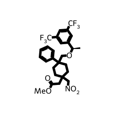 COC(=O)CC1(C[N+](=O)[O-])CCC(CO[C@H](C)c2cc(C(F)(F)F)cc(C(F)(F)F)c2)(c2ccccc2)CC1